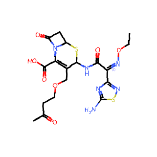 CCO/N=C(\C(=O)NC1SC2CC(=O)N2C(C(=O)O)=C1COCCC(C)=O)c1nsc(N)n1